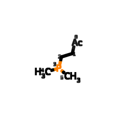 CC(=O)CCP(C)C